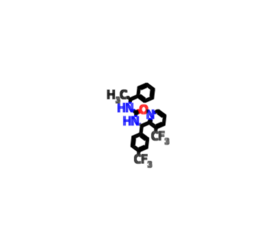 C[C@H](NC(=O)N[C@@H](c1ccc(C(F)(F)F)cc1)c1ncccc1C(F)(F)F)c1ccccc1